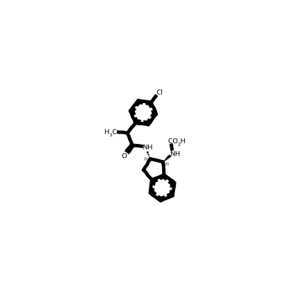 CC(C(=O)N[C@H]1Cc2ccccc2[C@@H]1NC(=O)O)c1ccc(Cl)cc1